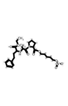 CCOC(=O)C(CCc1ccccc1)NC(C)C(=O)N1CCCC1C(=O)OCCCCCO[N+](=O)[O-]